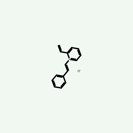 C=Cc1cccc[n+]1C=Cc1ccccc1.[Cl-]